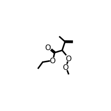 C=C(C)C(OOC)C(=O)OCC